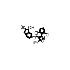 CC(C)c1onc(-c2c(Cl)cccc2Cl)c1COc1ccc2c(c1)C(O)C(Br)C2